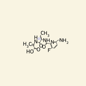 C/C=C(\NC(=O)c1nc(CN)ccc1F)C(=O)N[C@@H](C)C(=O)O